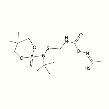 CC(S)=NOC(=O)NCSN(C(C)(C)C)P1(=S)OCC(C)(C)CO1